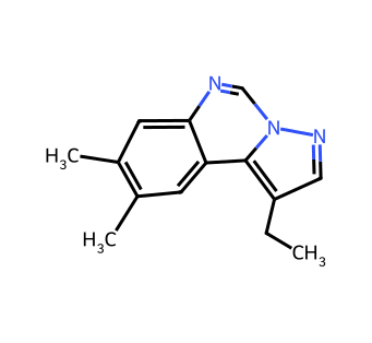 CCc1cnn2cnc3cc(C)c(C)cc3c12